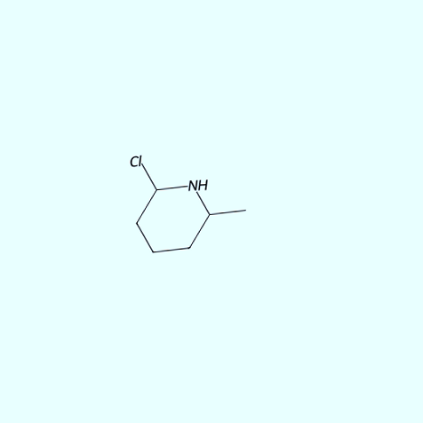 CC1CCCC(Cl)N1